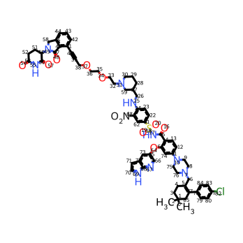 CC1(C)CCC(CN2CCN(c3ccc(C(=O)NS(=O)(=O)c4ccc(NCC5CCCN(CCOCCOCC#Cc6cccc7c6C(=O)N(C6CCC(=O)NC6=O)C7)C5)c([N+](=O)[O-])c4)c(Oc4cnc5[nH]ccc5c4)c3)CC2)=C(c2ccc(Cl)cc2)C1